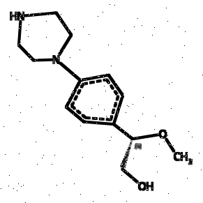 CO[C@H](CO)c1ccc(N2CCNCC2)cc1